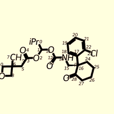 CC(C)C(OC(=O)CC1(C)COC1)OC(=O)NC[C@@]1(c2ccccc2Cl)CCCCC1=O